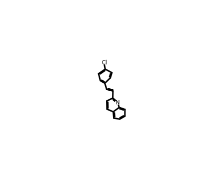 Clc1ccc(/C=C/c2ccc3ccccc3n2)cc1